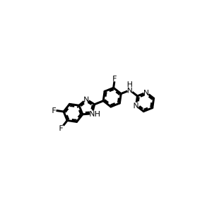 Fc1cc2nc(-c3ccc(Nc4ncccn4)c(F)c3)[nH]c2cc1F